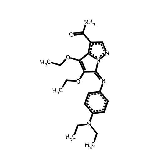 CCOC1=C(OCC)c2c(C(N)=O)cnn2C1=Nc1ccc(N(CC)CC)cc1